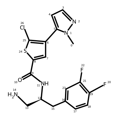 Cn1nccc1-c1cc(C(=O)N[C@H](CN)Cc2ccc(F)c(F)c2)sc1Cl